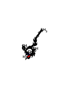 C#C/C1=C(Cl)\C(C)=C(/CC)c2c(-c3ccc(F)cc3)sc3ncnc(c23)O[C@@H](C(=O)O)Cc2cc(ccc2OCc2ccnc(-c3ccc(OCCOCCOCCOC)nc3)n2)OC[C@@H](CN2CCN(C)CC2)O1